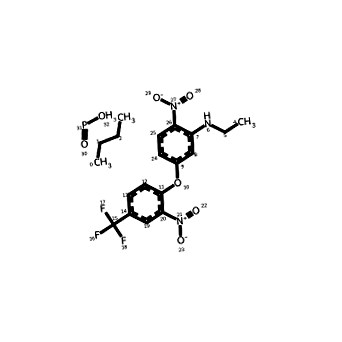 CCCC.CCNc1cc(Oc2ccc(C(F)(F)F)cc2[N+](=O)[O-])ccc1[N+](=O)[O-].O=PO